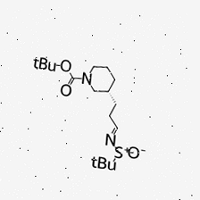 CC(C)(C)OC(=O)N1CCC[C@H](CC/C=N/[S+]([O-])C(C)(C)C)C1